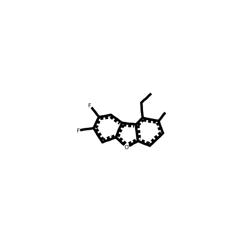 CCc1c(C)ccc2oc3cc(F)c(F)cc3c12